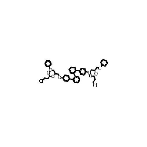 O=C(CCCl)OC(COc1ccccc1)COc1ccc(-c2ccccc2-c2ccccc2-c2ccc(OCC(COc3ccccc3)OC(=O)CCCl)cc2)cc1